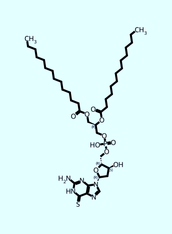 CCCCCCCCCCCCCC(=O)OC[C@H](COP(=O)(O)OC[C@H]1O[C@@H](n2cnc3c(=S)[nH]c(N)nc32)C[C@@H]1O)OC(=O)CCCCCCCCCCCCC